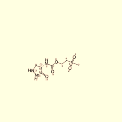 CS(=O)(=O)CCOC(=O)N[C@H]1CNNC1=O